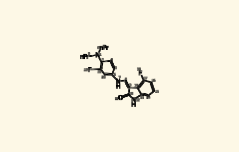 CCCN(CCC)c1ccc(NC=C2C(=O)Nc3cccc(F)c32)cc1F